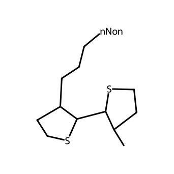 CCCCCCCCCCCCC1CCSC1C1SCCC1C